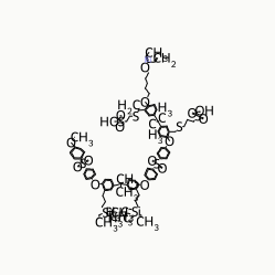 C=C/C(=C\C)OCCCCCOc1ccc(C(C)(C)c2ccc(Oc3ccc(S(=O)(=O)c4ccc(Oc5ccc(C(C)(C)c6ccc(Oc7ccc(S(=O)(=O)c8ccc(OC)cc8)cc7)c(CCC[Si](CC)(CC)CC)c6)cc5CCC[Si](CC)(CC)CC)cc4)cc3)c(CSCCCS(=O)(=O)O)c2)cc1C(=C)SCCS(=O)(=O)O